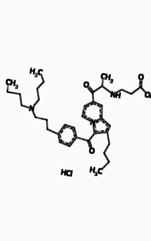 CCCCc1cc2cc(C(=O)C(C)NCCC(=O)O)ccn2c1C(=O)c1ccc(CCCN(CCCC)CCCC)cc1.Cl